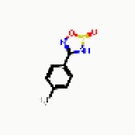 Cc1ccc(C2=NOS(=O)N2)cc1